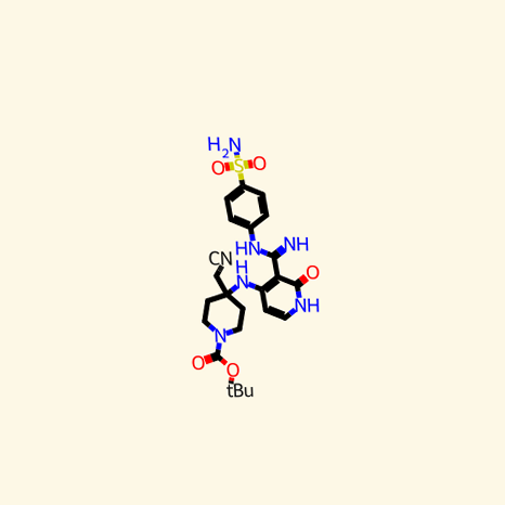 CC(C)(C)OC(=O)N1CCC(CC#N)(Nc2cc[nH]c(=O)c2C(=N)Nc2ccc(S(N)(=O)=O)cc2)CC1